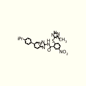 CC(C)c1ccc(-c2ccc3nc(NC(=O)c4cc([N+](=O)[O-])ccc4Sc4nnnn4C)nn3c2)cc1